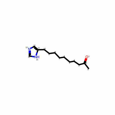 CC(=O)CCCCCCCCc1cnc[nH]1